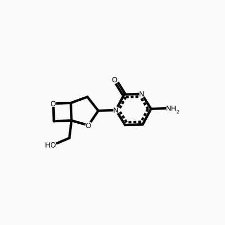 Nc1ccn(C2CC3OCC3(CO)O2)c(=O)n1